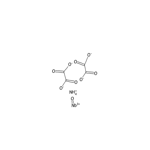 O=C([O-])C(=O)[O-].O=C([O-])C(=O)[O-].[NH4+].[O]=[Nb+3]